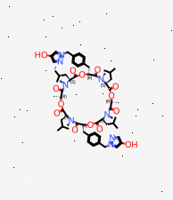 CC(C)C[C@H]1C(=O)O[C@H](Cc2ccc(Cn3cc(O)cn3)cc2)C(=O)N(C)[C@@H](CC(C)C)C(=O)O[C@H](C)C(=O)N(C)[C@@H](CC(C)C)C(=O)O[C@H](Cc2ccc(Cn3cc(O)cn3)cc2)C(=O)N(C)[C@@H](CC(C)C)C(=O)O[C@H](C)C(=O)N1C